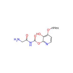 CCCCCCOc1ccnc(OC(=O)NC(=O)CN)c1O